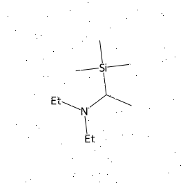 CCN(CC)C(C)[Si](C)(C)C